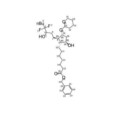 CCCCC(F)(F)C(O)CC[C@@H]1[C@@H](CCCCCCC(=O)OCc2ccccc2)[C@H](O)C[C@H]1OC1CCCCO1